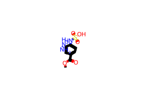 COC(=O)c1ccc(NS(=O)(=O)O)cc1.NN